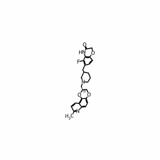 Cc1ccc2c3c(ccc2n1)OC[C@H](CN1CCCC(Cc2ccc4c(c2F)NC(=O)CO4)C1)O3